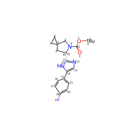 CC(C)(C)OC(=O)N1CC2(CC2)C[C@H]1c1ncc(-c2ccc(I)cc2)[nH]1